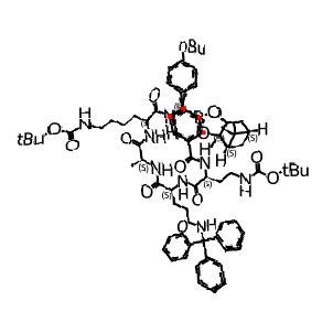 CCCCc1ccc(-c2ccc(C(=O)N[C@@H](CCNC(=O)OC(C)(C)C)C(=O)N[C@@H](CCC(=O)NC(c3ccccc3)(c3ccccc3)c3ccccc3)C(=O)N[C@@H](C)C(=O)N[C@@H](CCCCNC(=O)OC(C)(C)C)C(=O)N[C@@H](C)B3OC4C[C@@H]5C[C@@H](C5(C)C)[C@]4(C)O3)cc2)cc1